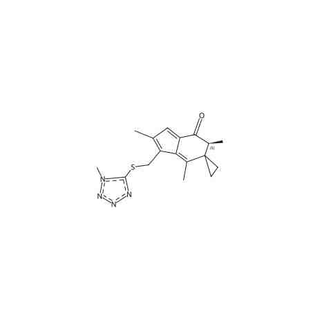 CC1=C(CSc2nnnn2C)C2=C(C)C3(CC3)[C@H](C)C(=O)C2=C1